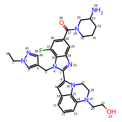 CCn1cc(Cn2c(-c3cc4cccc5c4n3CCN5CCO)nc3cc(C(=O)N4CCCC(N)C4)cc(F)c32)cn1